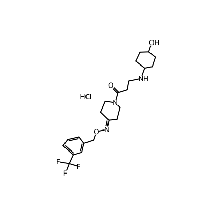 Cl.O=C(CCNC1CCC(O)CC1)N1CCC(=NOCc2cccc(C(F)(F)F)c2)CC1